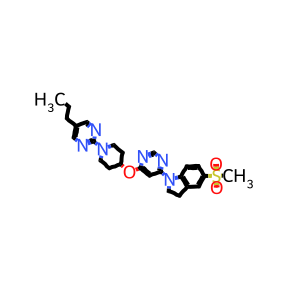 CCCc1cnc(N2CCC(Oc3cc(N4CCc5cc(S(C)(=O)=O)ccc54)ncn3)CC2)nc1